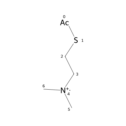 CC(=O)SCC[N+](C)C